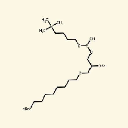 CCCCCCCCCCCCCCCCCCOCC(COP(O)OCCCC[N+](C)(C)C)OC(C)=O